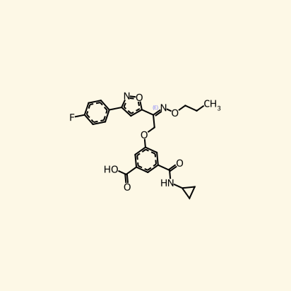 CCCO/N=C(\COc1cc(C(=O)O)cc(C(=O)NC2CC2)c1)c1cc(-c2ccc(F)cc2)no1